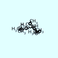 Cc1cc(C)cc(-c2[nH]c3sc(C(C)(C)C(=O)C4C5CCC4NC5)cc3c2CCN2CCC(CNS(=O)(=O)C(C)C)CC2)c1